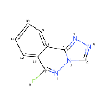 Fc1nn2cnnc2c2ccccc12